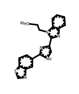 COCCn1c(-c2c[nH]c(-c3ccc4scnc4c3)n2)nc2ccccc21